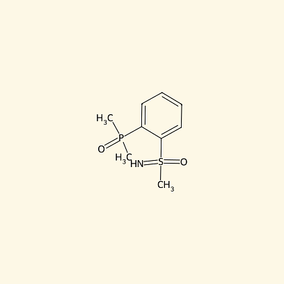 CP(C)(=O)c1ccccc1S(C)(=N)=O